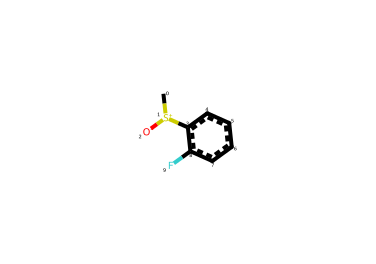 C[S+]([O-])c1ccccc1F